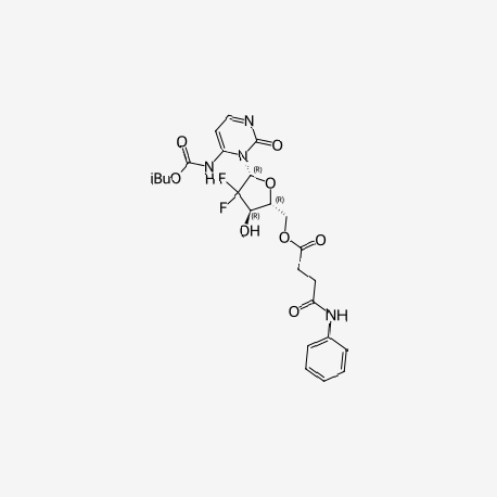 CC(C)COC(=O)Nc1ccnc(=O)n1[C@@H]1O[C@H](COC(=O)CCC(=O)Nc2ccccc2)[C@@H](O)C1(F)F